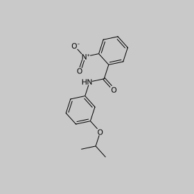 CC(C)Oc1cccc(NC(=O)c2ccccc2[N+](=O)[O-])c1